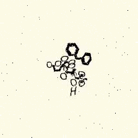 CS(=O)(=O)C(O)[C@H]1CON(C2(C(=O)OC(c3ccccc3)c3ccccc3)CCC(=O)O2)C1=O